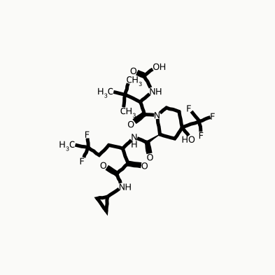 CC(F)(F)CCC(NC(=O)[C@@H]1CC(O)(C(F)(F)F)CCN1C(=O)C(NC(=O)O)C(C)(C)C)C(=O)C(=O)NC1CC1